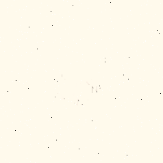 C=CCc1ncnc(Cl)c1Cl